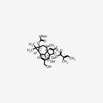 C/C=C(\C)C(=O)O[C@H]1C(C)=C[C@]23C(O)[C@@H](C=C(CO)[C@@H](O)[C@]12O)[C@H]1C(C)(C)[C@]1(OC(=O)CCCCCCCCC)C[C@H]3C